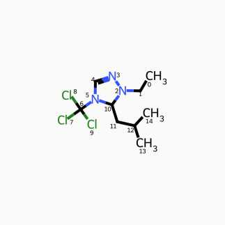 CCN1N=CN(C(Cl)(Cl)Cl)C1CC(C)C